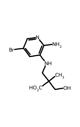 CC(CO)(CNc1cc(Br)cnc1N)C(=O)O